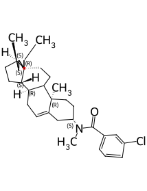 C[C@H]1[C@H]2CC[C@H]3[C@@H]4CC=C5C[C@@H](N(C)C(=O)c6cccc(Cl)c6)CC[C@]5(C)C4CC[C@]23CN1C